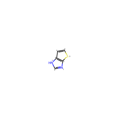 c1nc2sccc2[nH]1